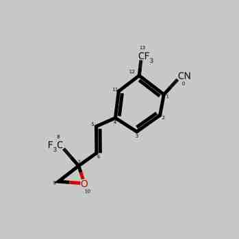 N#Cc1ccc(/C=C/C2(C(F)(F)F)CO2)cc1C(F)(F)F